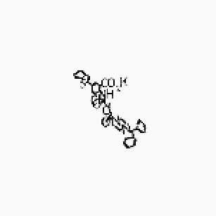 Cc1cc(-c2cc3ccccc3s2)cc(C(=O)O)c1NC(=O)COCC(=O)N1CCN(C(c2ccccc2)c2ccccc2)CC1